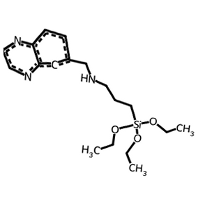 CCO[Si](CCCNCc1ccc2nccnc2c1)(OCC)OCC